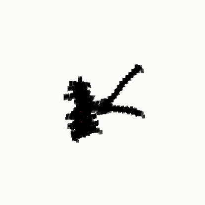 CCCCCCCCCCCCC/C=C/[C@@H](O)[C@H](CO[C@@H]1OC(CO)[C@@H](O[C@@H]2OC(CO)[C@H](O[C@@H]3OC(CO)[C@H](O)[C@H](O[C@@H]4OC(CO)[C@H](O)[C@H](O)C4O)C3NC(C)=O)[C@H](O[C@@H]3OC(CO)[C@@H](O)[C@H](O[C@@H]4OC(CO)[C@H](O[C@@H]5OC(CO)[C@H](O)[C@H](O)C5NC(C)=O)[C@H](O[C@]5(C(=O)O)CC(O)[C@@H](NC(C)=O)C([C@H](O)[C@H](O)CO)O5)C4O)C3NC(C)=O)C2O)[C@H](O)C1O)NC(=O)CCCCCCCCCCCCCCCCCCCCC